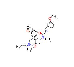 C=CCN1CCC2(c3cccc(OC)c3)CC(N(C)C(=O)/C=C/c3cccc(OC)c3)CCC2(OC)C1